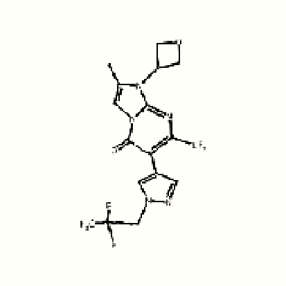 Cc1cn2c(=O)c(-c3cnn(CC(F)(F)C(F)(F)F)c3)c(C(F)(F)F)nc2n1C1COC1